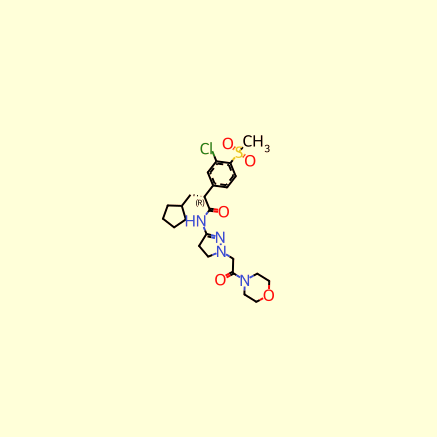 CS(=O)(=O)c1ccc([C@@H](CC2CCCC2)C(=O)NC2=NN(CC(=O)N3CCOCC3)CC2)cc1Cl